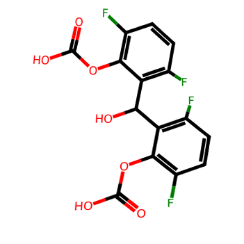 O=C(O)Oc1c(F)ccc(F)c1C(O)c1c(F)ccc(F)c1OC(=O)O